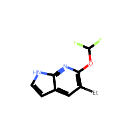 CCc1cc2cc[nH]c2nc1OC(F)F